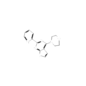 c1ccc(-c2nc(N3CCOCC3)c3ccsc3n2)nc1